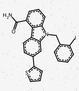 NC(=O)c1cccc2c1c1[c]cc(-c3cccs3)cc1n2Cc1ccccc1I